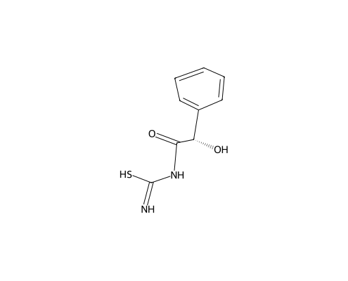 N=C(S)NC(=O)[C@@H](O)c1ccccc1